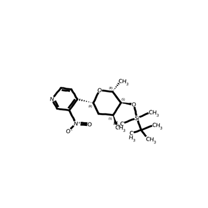 C[C@H]1C[C@H](c2ccncc2[N+](=O)[O-])O[C@H](C)[C@H]1O[Si](C)(C)C(C)(C)C